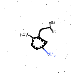 CCCCC(CC)Cc1cc(N)ccc1C(=O)O